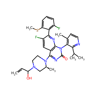 C=CC(O)N1CCN(c2nc(=O)n(-c3c(C)ccnc3C(C)C)c3nc(-c4c(F)cccc4SC)c(F)cc23)[C@@H](C)C1